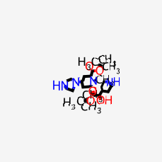 CC(C)(C)OC(=O)C(O)C1CCNCC1.CN1CCC(N2CCNCC2)CC1C(=O)OC(C)(C)C